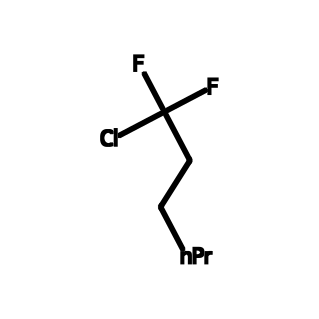 [CH2]CCCCC(F)(F)Cl